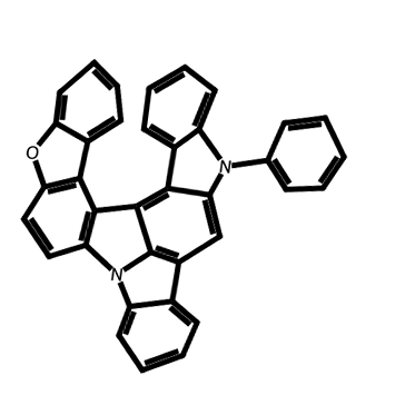 c1ccc(-n2c3ccccc3c3c4c5c6c(ccc5n5c7ccccc7c(cc32)c45)oc2ccccc26)cc1